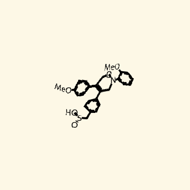 COc1ccc(C2=C(c3ccc(CS(=O)O)cc3)CN(c3ccccc3OC)OC2)cc1